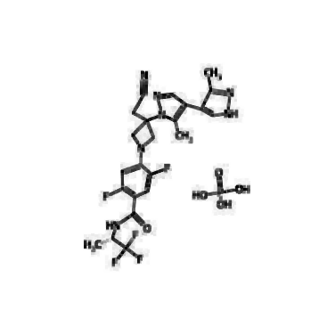 Cc1n[nH]cc1-c1cnn(C2(CC#N)CN(c3cc(F)c(C(=O)N[C@@H](C)C(F)(F)F)cc3F)C2)c1C.O=P(O)(O)O